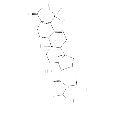 CC(C)N(C(=O)[C@H]1CC[C@H]2[C@@H]3CC=C4C(C(F)(F)F)=C(C(=O)O)CC[C@]4(C)[C@H]3CC[C@]12C)C(C)C